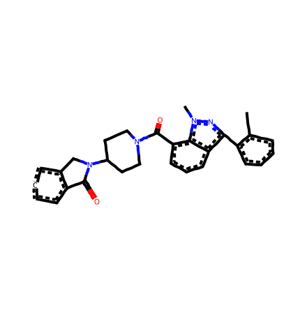 Cc1ccccc1-c1nn(C)c2c(C(=O)N3CCC(N4Cc5ccccc5C4=O)CC3)cccc12